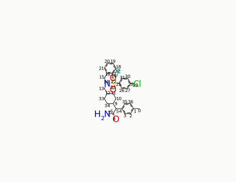 Cc1ccc(C(C(N)=O)C2CCC(CN(Cc3ccccc3)S(=O)(=O)c3ccc(Cl)cc3F)CC2)cc1